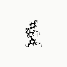 C[C@@H](NC(=O)c1cc(Cl)cc(C(F)(F)F)c1)c1ncnn1-c1ccc(Cl)cn1